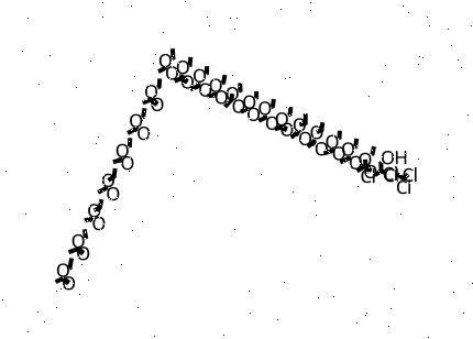 CCOC(C)=O.CCOC(C)=O.CCOC(C)=O.CCOC(C)=O.CCOC(C)=O.CCOC(C)=O.CCOC(C)=O.CCOC(C)=O.CCOC(C)=O.CCOC(C)=O.CCOC(C)=O.CCOC(C)=O.CCOC(C)=O.CCOC(C)=O.CCOC(C)=O.CCOC(C)=O.CCOC(C)=O.CCOC(C)=O.CCOC(C)=O.CCOC(C)=O.ClC(Cl)Cl.OCC(Cl)Cl